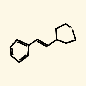 C(=CC1CCNCC1)c1ccccc1